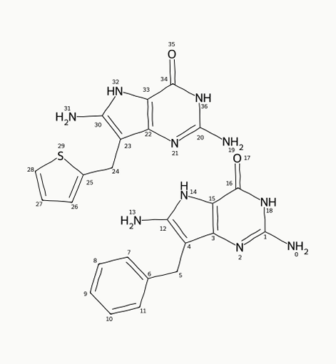 Nc1nc2c(Cc3ccccc3)c(N)[nH]c2c(=O)[nH]1.Nc1nc2c(Cc3cccs3)c(N)[nH]c2c(=O)[nH]1